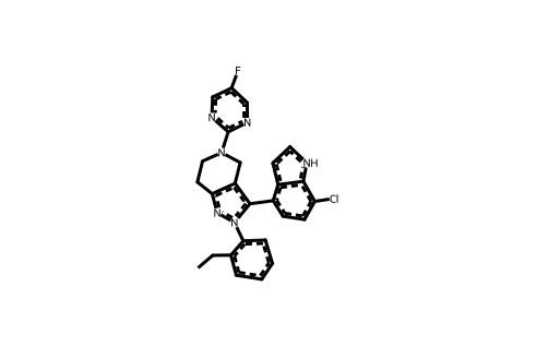 CCc1ccccc1-n1nc2c(c1-c1ccc(Cl)c3[nH]ccc13)CN(c1ncc(F)cn1)CC2